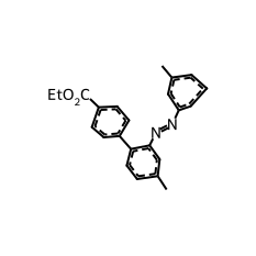 CCOC(=O)c1ccc(-c2ccc(C)cc2/N=N/c2cccc(C)c2)cc1